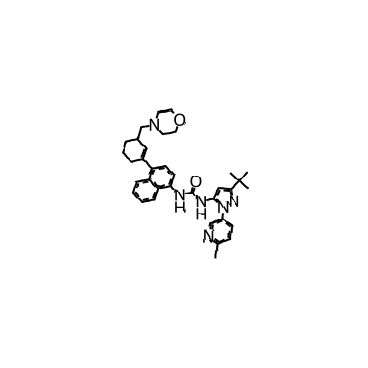 Cc1ccc(-n2nc(C(C)(C)C)cc2NC(=O)Nc2ccc(C3=CC(CN4CCOCC4)CCC3)c3ccccc23)cn1